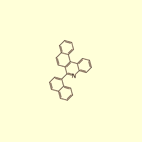 c1ccc2c(-c3nc4ccccc4c4c3ccc3ccccc34)cccc2c1